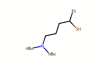 CCCCN(CCCC)CCCC(S)CC